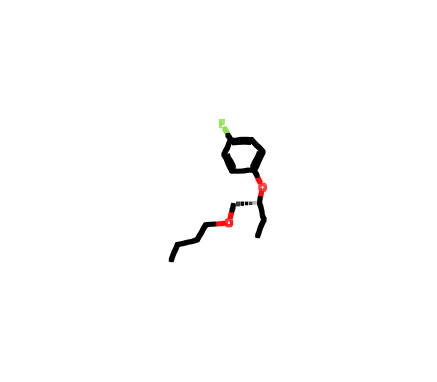 CCCCOC[C@@H](CC)Oc1ccc(F)cc1